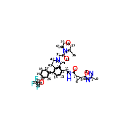 Cc1noc([C@H]2CC2C(=O)NCc2ccc(-c3cccc(OC(F)(F)F)c3)c3c2CN(CC(=O)N2[C@H](C)COC[C@H]2C)CC3)n1